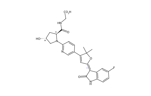 CC1(C)O/C(=C2/C(=O)Nc3ccc(F)cc32)C=C1c1ccc(N2C[C@H](O)C[C@H]2C(=O)NCC(=O)O)nc1